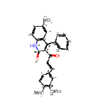 COc1ccc(C=CC(=O)c2c(-c3ccccc3)c3cc([N+](=O)[O-])ccc3[nH]c2=O)cc1OC